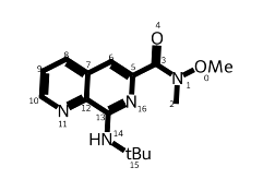 CON(C)C(=O)c1cc2cccnc2c(NC(C)(C)C)n1